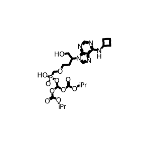 CC(C)OC(=O)OC(OC(=O)OC(C)C)OP(=O)(O)COCCC(CO)n1cnc2c(NC3CCC3)ncnc21